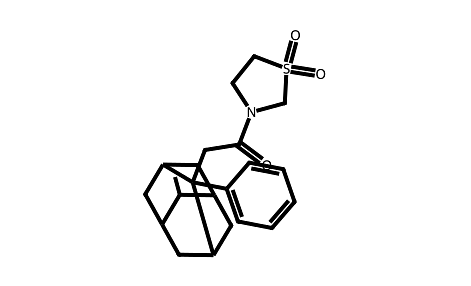 CC1C2CC3CC1CC(C2)C3(CC(=O)N1CCS(=O)(=O)C1)c1ccccc1